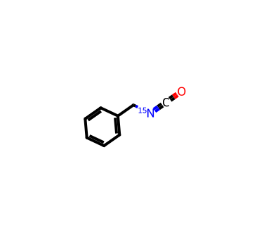 O=C=[15N]Cc1ccccc1